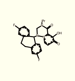 CC(C)N1CN(C2c3ccc(F)cc3CCc3cc(F)ccc32)n2ccc(=O)c(O)c2C1=O